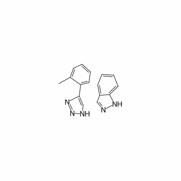 Cc1ccccc1-c1c[nH]nn1.c1ccc2[nH]ncc2c1